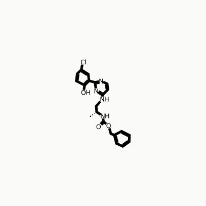 C[C@H](CNc1ccnc(-c2cc(Cl)ccc2O)n1)NC(=O)OCc1ccccc1